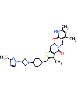 Cc1ccn(C2CN(C3CCC(Cc4sc5c(c4C)C(=O)N(Cc4c(C)cc(C)[nH]c4=O)CC5)CC3)C2)n1